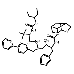 CCC(CC)OC(=O)N[C@H](C(=O)NN(Cc1ccc(-c2ccccn2)cc1)C[C@H](O)[C@H](Cc1ccccc1)NC(=O)OC1C2COC3OCC1C3C2)C(C)(C)C